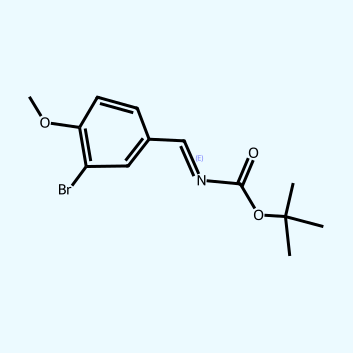 COc1ccc(/C=N/C(=O)OC(C)(C)C)cc1Br